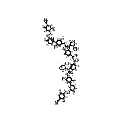 C[C@H]1COC[C@H]1n1c(Cc2cc(F)c(-c3ccc(F)c(OCc4cc(F)c(C#N)cc4F)n3)cc2F)nc2ccc(C(=O)OC(=O)c3ccc4nc(Cc5cc(F)c(-c6ccc(F)c(OCc7cc(F)c(C#N)cc7F)n6)cc5F)n([C@@H]5COC[C@@H]5C)c4c3)cc21